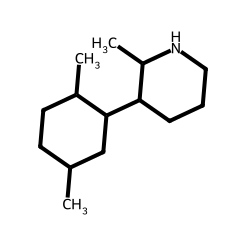 CC1CCC(C)C(C2CCCNC2C)C1